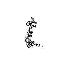 CCCS(=O)(=O)N1CCCC(c2nc(CNC(=O)C3CC3)cs2)C1